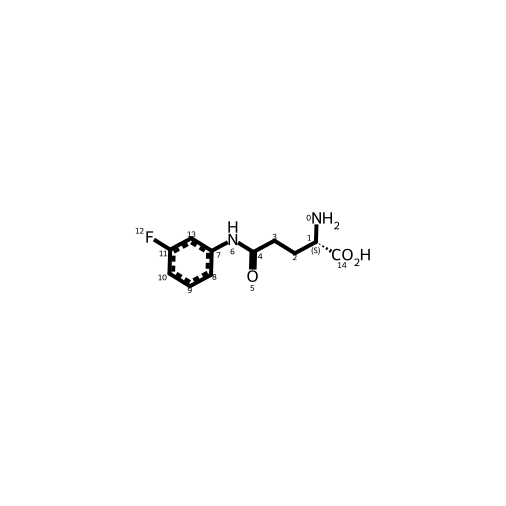 N[C@@H](CCC(=O)Nc1cccc(F)c1)C(=O)O